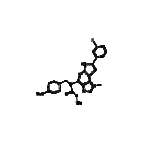 COc1ccc(CN(C(=O)OC(C)(C)C)c2nc3[nH]c(-c4cccc(F)c4)cc3c3c2ncn3C)cc1